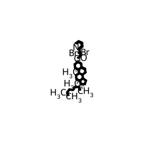 CC(C)CCCC(C)[C@@H]1CCC2C3CC=C4C[C@H](OC(=O)C(Br)(Br)c5ccccn5)CC[C@]4(C)C3CC[C@@]21C